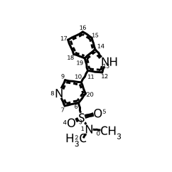 CN(C)S(=O)(=O)c1cncc(-c2c[nH]c3ccccc23)c1